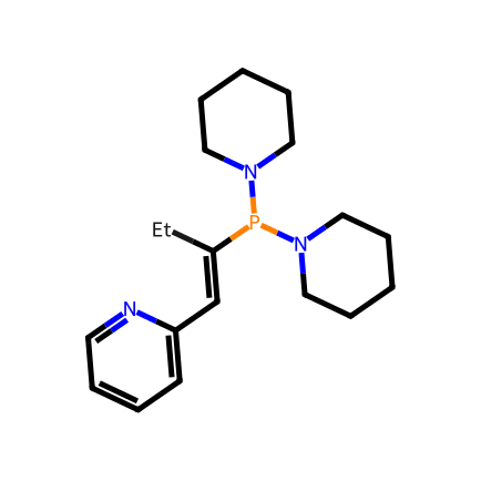 CCC(=Cc1ccccn1)P(N1CCCCC1)N1CCCCC1